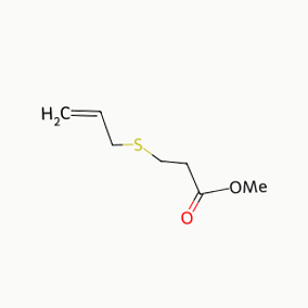 C=CCSCCC(=O)OC